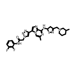 Cc1cn2c(-c3cn(CC(=O)Nc4cccc(F)c4F)nn3)cnc2c(NC2CC(CN3CCCC(C)C3)=NS2)n1